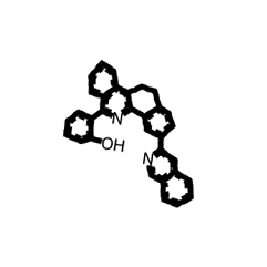 Oc1ccccc1-c1nc2c(c3ccccc13)CCc1ccc(-c3cc4ccccc4cn3)cc1-2